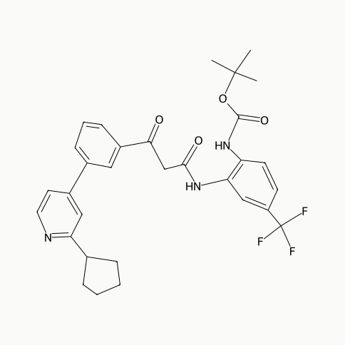 CC(C)(C)OC(=O)Nc1ccc(C(F)(F)F)cc1NC(=O)CC(=O)c1cccc(-c2ccnc(C3CCCC3)c2)c1